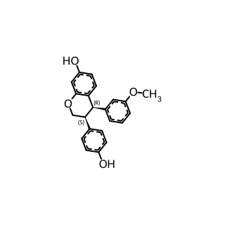 COc1cccc([C@@H]2c3ccc(O)cc3OC[C@@H]2c2ccc(O)cc2)c1